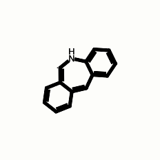 [C]1=c2ccccc2=Cc2ccccc2N1